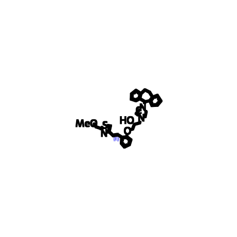 COCc1nc(/C=C/c2ccccc2OCC(O)CN2CCN(C3c4ccccc4CCc4ccccc43)CC2)cs1